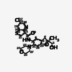 C[C@@]1(CO)Cc2cc(NC(=O)c3csc4cc(Cl)cnc34)c(N3CCOCC3)cc2O1